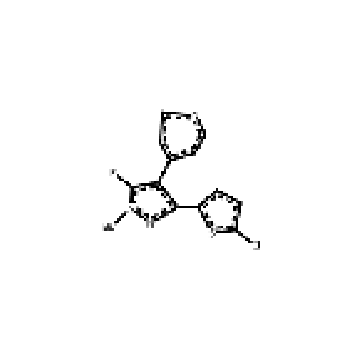 CCC(C)n1nc(-c2ccc(Cl)s2)c(-c2ccncc2)c1F